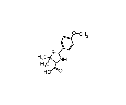 COc1ccc(C2N[C@@H](C(=O)O)C(C)(C)S2)cc1